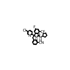 N#Cc1cccc(CC(NC(=O)NC2CCCC2)(c2cc(F)cc(C(F)(F)F)c2)c2ccc(Cl)cn2)c1